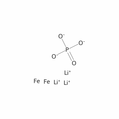 O=P([O-])([O-])[O-].[Fe].[Fe].[Li+].[Li+].[Li+]